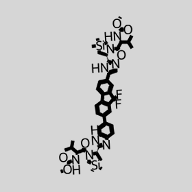 COC(=O)N[C@H](C(=O)N1C[Si](C)(C)C[C@H]1c1ncc(-c2ccc3c(c2)C(F)(F)c2cc(-c4ccc5nc([C@@H]6C[Si](C)(C)CN6C(=O)[C@@H](NC(=O)OC)C(C)C)[nH]c5c4)ccc2-3)[nH]1)C(C)C